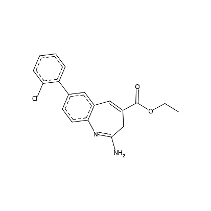 CCOC(=O)C1=Cc2cc(-c3ccccc3Cl)ccc2N=C(N)C1